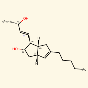 CCCCC[C@H](O)/C=C/[C@H]1[C@@H]2CC(CCCCC(C)=O)=C[C@@H]2C[C@@H]1O